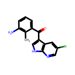 Cc1c(N)cccc1C(=O)c1c[nH]c2ncc(Br)cc12